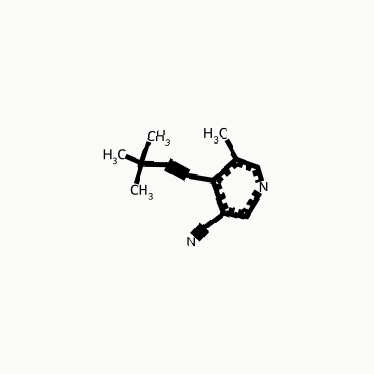 Cc1cncc(C#N)c1C#CC(C)(C)C